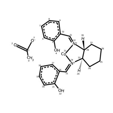 CC(=O)[O-].Oc1ccccc1C=[N+]1[Co][N+](=Cc2ccccc2O)[C@@H]2CCCC[C@H]21